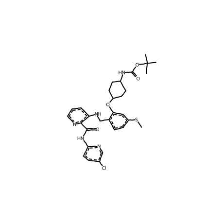 CSc1ccc(CNc2cccnc2C(=O)Nc2ccc(Cl)cn2)c(OC2CCC(NC(=O)OC(C)(C)C)CC2)c1